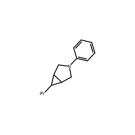 CC(C)C1C2CN(c3ccccc3)CC21